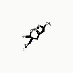 CCN/C=C(/Cc1cc(C)n[nH]1)C(=N)Cl